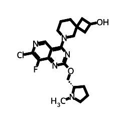 CN1CCC[C@H]1COc1nc(N2CCCC3(CC(O)C3)C2)c2cnc(Cl)c(F)c2n1